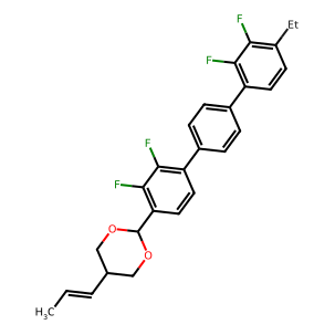 C/C=C/C1COC(c2ccc(-c3ccc(-c4ccc(CC)c(F)c4F)cc3)c(F)c2F)OC1